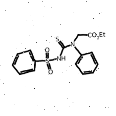 CCOC(=O)CN(C(=S)NS(=O)(=O)c1ccccc1)c1ccccc1